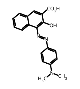 CN(C)c1ccc(/N=N/c2c(O)c(C(=O)O)cc3ccccc23)cc1